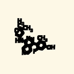 Cc1cc(O)cc(F)c1-c1nnc(N[C@@H]2COC(C)(C)C2)c2cnccc12